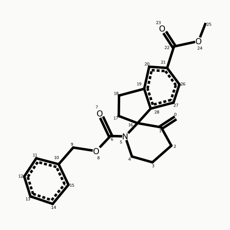 C=C1CCCN(C(=O)OCc2ccccc2)C12CCc1cc(C(=O)OC)ccc12